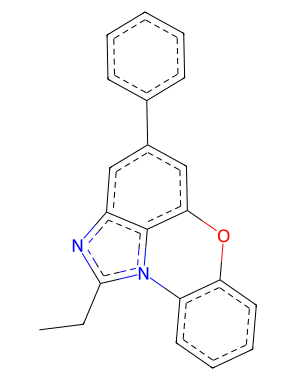 CCc1nc2cc(-c3ccccc3)cc3c2n1-c1ccccc1O3